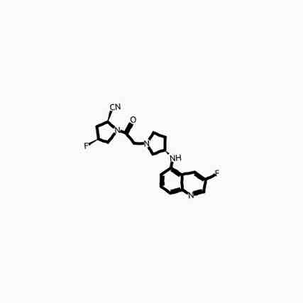 N#C[C@@H]1C[C@H](F)CN1C(=O)CN1CC[C@H](Nc2cccc3ncc(F)cc23)C1